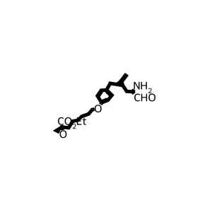 C=C1C(Cc2ccc(OCCCCCCC3(C(=O)OCC)CO3)cc2)C1CC(N)C=O